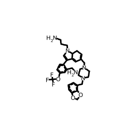 NCCCN1C=C(c2ccc(OC(F)(F)F)cc2CN)C2=CC(CN3CCN(Cc4cccc5c4OCO5)CC3)=CCC21